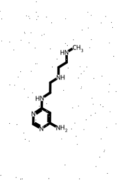 CNCCNCCNc1cc(N)ncn1